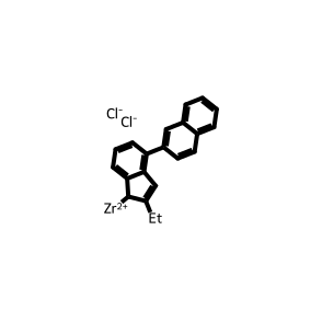 CCC1=Cc2c(-c3ccc4ccccc4c3)cccc2[CH]1[Zr+2].[Cl-].[Cl-]